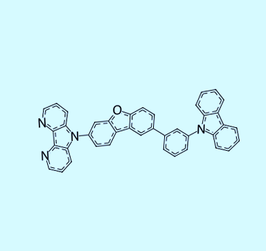 c1cc(-c2ccc3oc4cc(-n5c6cccnc6c6ncccc65)ccc4c3c2)cc(-n2c3ccccc3c3ccccc32)c1